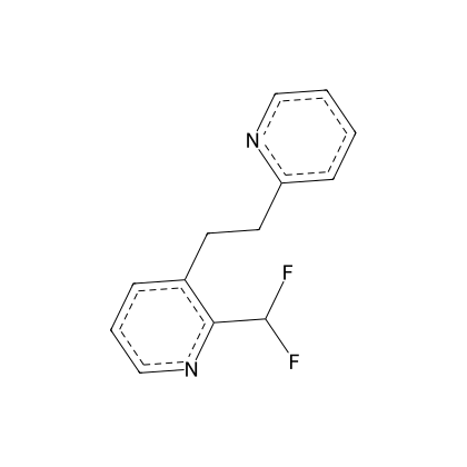 FC(F)c1ncccc1CCc1ccccn1